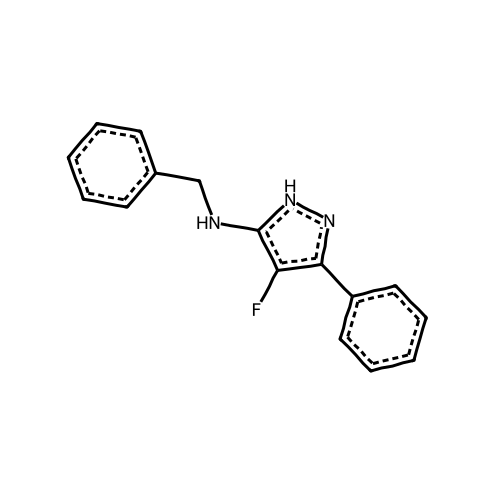 Fc1c(-c2ccccc2)n[nH]c1NCc1ccccc1